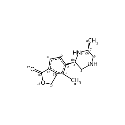 Cc1c([C@@H]2CNC[C@H](C)N2)ccc2c1COC2=O